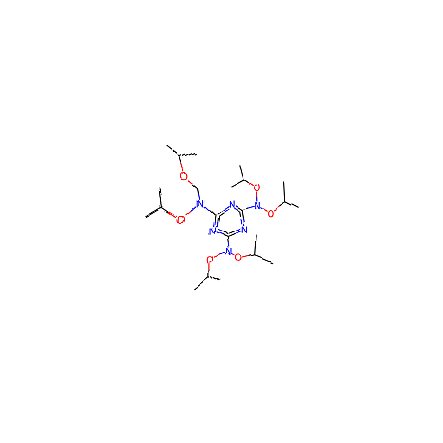 CC(C)OCN(OC(C)C)c1nc(N(OC(C)C)OC(C)C)nc(N(OC(C)C)OC(C)C)n1